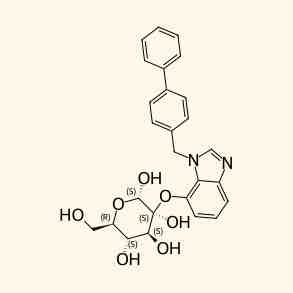 OC[C@H]1O[C@H](O)[C@@](O)(Oc2cccc3ncn(Cc4ccc(-c5ccccc5)cc4)c23)[C@@H](O)[C@@H]1O